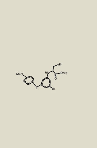 COC(=O)C(CC(C)C)Nc1cc(Br)cc(Sc2ccc(OC)cc2)c1